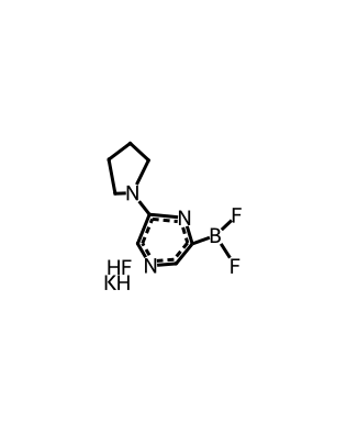 F.FB(F)c1cncc(N2CCCC2)n1.[KH]